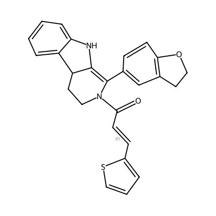 O=C(/C=C/c1cccs1)N1CCC2C(=C1c1ccc3c(c1)CCO3)Nc1ccccc12